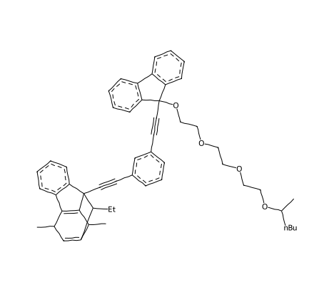 CCCCC(C)OCCOCCOCCOC1(C#Cc2cccc(C#CC34C5=C(c6ccccc63)C(C)C=C(C5C)C4CC)c2)c2ccccc2-c2ccccc21